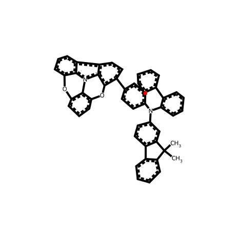 CC1(C)c2ccccc2-c2ccc(N(c3ccc(-c4ccc5c6cccc7c6n6c5c4Oc4cccc(c4-6)O7)cc3)c3ccccc3-c3ccccc3)cc21